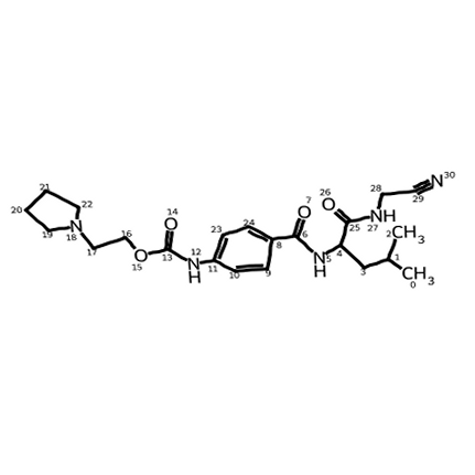 CC(C)CC(NC(=O)c1ccc(NC(=O)OCCN2CCCC2)cc1)C(=O)NCC#N